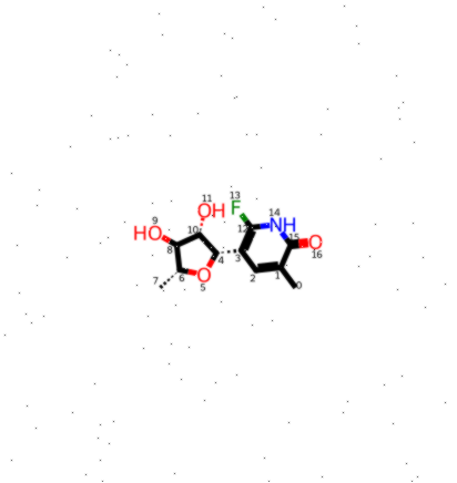 Cc1cc([C@@H]2O[C@H](C)C(O)[C@@H]2O)c(F)[nH]c1=O